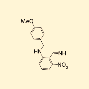 COc1ccc(CNc2cccc([N+](=O)[O-])c2C=N)cc1